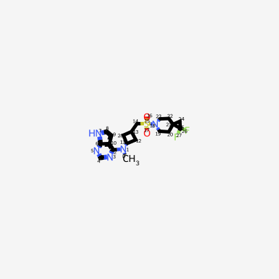 CN(c1ncnc2[nH]ccc12)C1CC(CS(=O)(=O)N2CCC3(CC2)CC3(F)F)C1